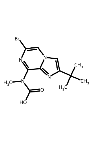 CN(C(=O)O)c1nc(Br)cn2cc(C(C)(C)C)nc12